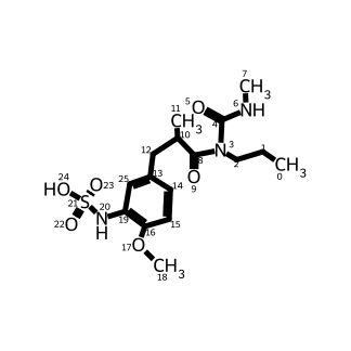 CCCN(C(=O)NC)C(=O)C(C)Cc1ccc(OC)c(NS(=O)(=O)O)c1